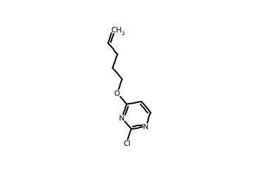 C=CCCCOc1ccnc(Cl)n1